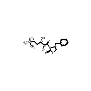 C[C@H](C(=O)N1C(=O)OC[C@@H]1Cc1ccccc1)[C@H](O)CC[Si](C)(C)C